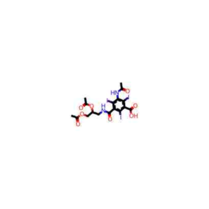 CC(=O)Nc1c(I)c(C(=O)O)c(I)c(C(=O)NCC(COC(C)=O)OC(C)=O)c1I